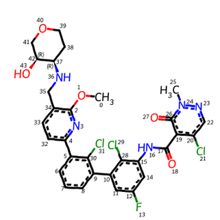 COc1nc(-c2cccc(-c3cc(F)cc(NC(=O)c4c(Cl)cnn(C)c4=O)c3Cl)c2Cl)ccc1CN[C@@H]1CCOC[C@@H]1O